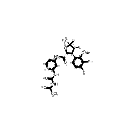 COc1c([C@H]2[C@H](C(=O)Nc3ccnc(NC(=O)NC(=O)C(Cl)(Cl)Cl)c3)O[C@@](C)(C(F)(F)F)[C@H]2C)ccc(F)c1F